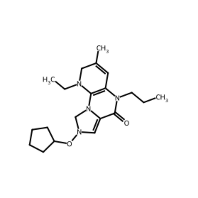 CCCN1C(=O)C2=CN(OC3CCCC3)CN2C2=C1C=C(C)CN2CC